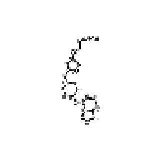 COCCOc1cc(CN2CCC(Oc3ccnc4ccsc34)CC2)on1